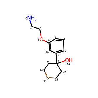 NCCOc1cccc(C2(O)CCSCC2)c1